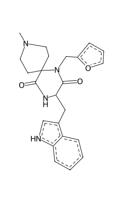 CN1CCC2(CC1)C(=O)NC(Cc1c[nH]c3ccccc13)C(=O)N2Cc1ccco1